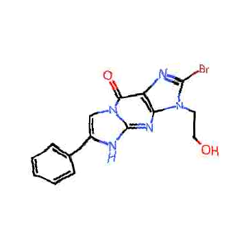 O=c1c2nc(Br)n(CCO)c2nc2[nH]c(-c3ccccc3)cn12